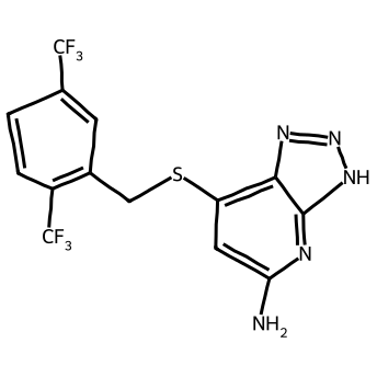 Nc1cc(SCc2cc(C(F)(F)F)ccc2C(F)(F)F)c2nn[nH]c2n1